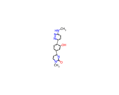 CNc1ccc(-c2ccc(-c3ccn(C)c(=O)n3)cc2O)nn1